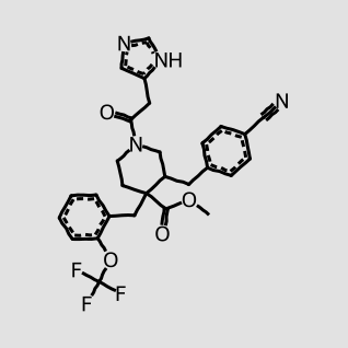 COC(=O)C1(Cc2ccccc2OC(F)(F)F)CCN(C(=O)Cc2cnc[nH]2)CC1Cc1ccc(C#N)cc1